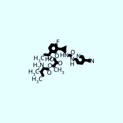 CCC(=O)c1ccc(F)c(C2CC2NC(=O)Nc2ccc(C#N)cn2)c1OC(O)C(=O)C(C)OC(=O)[C@@H](N)[C@@H](C)CC